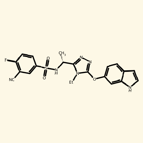 CCn1c(Oc2ccc3cc[nH]c3c2)nnc1[C@@H](C)NS(=O)(=O)c1ccc(F)c(C#N)c1